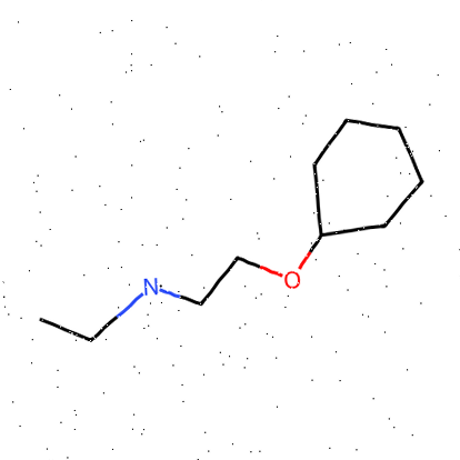 CC[N]CCOC1CCCCC1